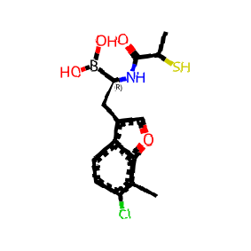 Cc1c(Cl)ccc2c(C[C@H](NC(=O)C(C)S)B(O)O)coc12